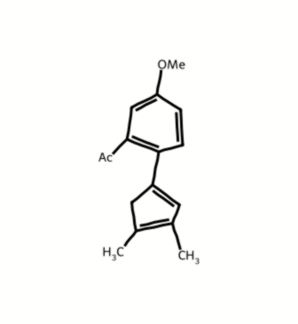 COc1ccc(C2=CC(C)=C(C)C2)c(C(C)=O)c1